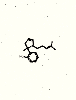 CC(C)=CCCC1C=CCC1(C)c1ccccc1O